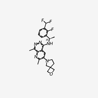 Cc1nc2c(C)nnc(N[C@H](C)c3cccc(C(F)F)c3F)c2cc1N1CCC2(COC2)C1